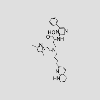 Cc1cc(C)n(CCN(CCCCc2ccc3c(n2)NCCC3)CC[C@H](Nc2cncc(-c3ccccc3)n2)C(=O)O)n1